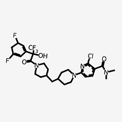 CN(C)C(=O)c1ccc(N2CCC(CC3CCN(C(=O)C(O)(C4=CC(F)CC(F)=C4)C(F)(F)F)CC3)CC2)nc1Cl